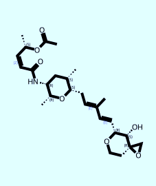 CC(=O)O[C@@H](C)/C=C\C(=O)N[C@@H]1C[C@H](C)[C@H](C/C=C(C)/C=C/[C@H]2OCC[C@@]3(CO3)[C@H]2O)O[C@@H]1C